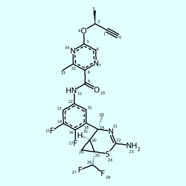 C#C[C@H](C)Oc1cnc(C(=O)Nc2cc(F)c(F)c([C@@]3(C)N=C(N)S[C@@]4(C(F)F)C[C@@H]34)c2)c(C)n1